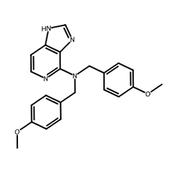 COc1ccc(CN(Cc2ccc(OC)cc2)c2nccc3[nH]cnc23)cc1